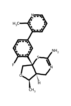 Cc1ncccc1-c1ccc(F)c([C@]23CO[C@H](C)[C@@H]2CN=C(N)S3)c1